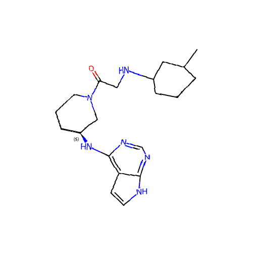 CC1CCCC(NCC(=O)N2CCC[C@H](Nc3ncnc4[nH]ccc34)C2)C1